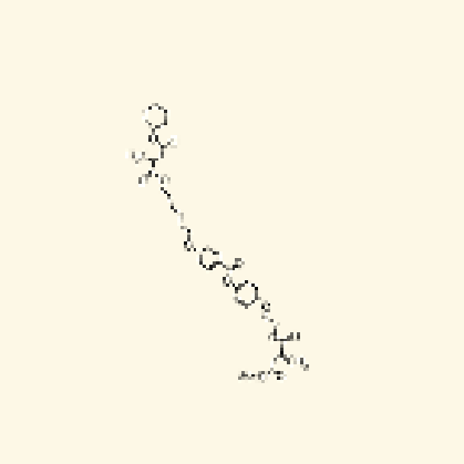 C=C(CC(=O)OC)C(=O)OCCOc1ccc(OC(=O)c2ccc(OCCCCCCOC(=O)C(=C)CC(=O)OC3CCCCC3)cc2)cc1